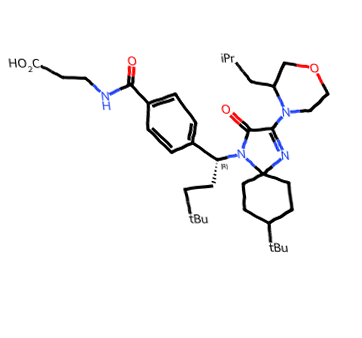 CC(C)CC1COCCN1C1=NC2(CCC(C(C)(C)C)CC2)N([C@H](CCC(C)(C)C)c2ccc(C(=O)NCCC(=O)O)cc2)C1=O